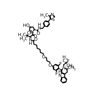 Cc1ncsc1-c1ccc(CNC(=O)[C@@H]2C[C@@H](O)CN2C(=O)[C@@H](NC(=O)CCCCCCOCCCOc2cc(F)c([C@@H]3c4[nH]c5ccccc5c4C[C@@H](C)N3CC(C)(C)F)c(F)c2)C(C)(C)C)cc1